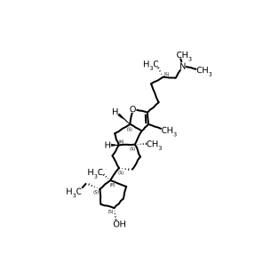 CC[C@H]1C[C@@H](O)CC[C@]1(C)[C@H]1CC[C@]2(C)C3C(C)=C(CC[C@H](C)CN(C)C)O[C@H]3C[C@H]2C1